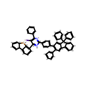 Ic1c(-c2ccccc2)nc(-c2ccc(-c3cc4c(cc3-c3ccccc3)-c3ccccc3C4(c3ccccc3)c3ccccc3)cc2)nc1-c1cccc2c1SC1C=CC=CC21